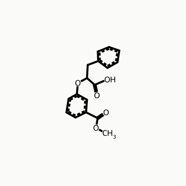 COC(=O)c1cccc(OC(Cc2ccccc2)C(=O)O)c1